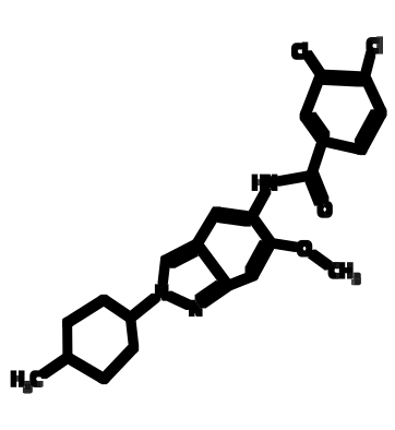 COc1cc2nn(C3CCC(C)CC3)cc2cc1NC(=O)c1ccc(Cl)c(Cl)c1